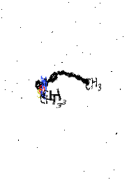 CCCCCCCCCCc1ccc(-c2cnc(-c3ccccc3OC(=S)N(C)C)nc2)cc1